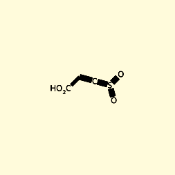 O=C(O)C=C=S(=O)=O